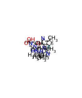 Cc1ccc(F)c(C2=C(C#N)C(=O)C3=C(N4C(C)CN(C(=O)O)CC4C)NC(C(C)(C)C)N(c4c(C)ccnc4C(C)C)C3=N2)c1